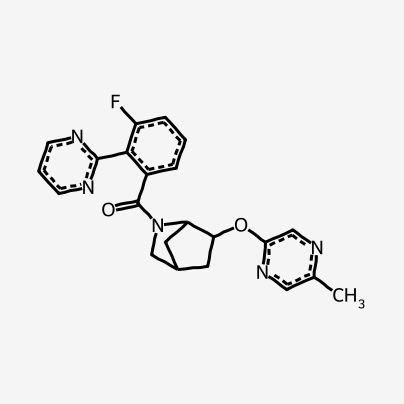 Cc1cnc(OC2CC3CC2N(C(=O)c2cccc(F)c2-c2ncccn2)C3)cn1